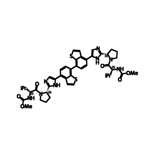 COC(=O)N[C@H](C(=O)N1CCC[C@H]1c1ncc(-c2ccc(-c3ccc(-c4cnc([C@@H]5CCCN5C(=O)[C@@H](NC(=O)OC)C(C)C)[nH]4)c4ccsc34)c3sccc23)[nH]1)C(C)C